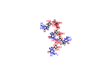 COC1C(OP(=O)(O)OC[C@H]2O[C@@H](n3cnc4c(=O)[nH]c(N)nc43)C(O)C2O)[C@@H](COP(=O)(O)OC2C(O)[C@H](n3cnc4c(=O)[nH]c(N)nc43)O[C@@H]2COP(=O)(O)OP(=O)(O)OP(=O)(O)OC[C@@H]2OC3(n4cnc5c(=O)[nH]c(N)nc54)CC3C2O)O[C@H]1n1cnc2c(=O)[nH]c(N)nc21